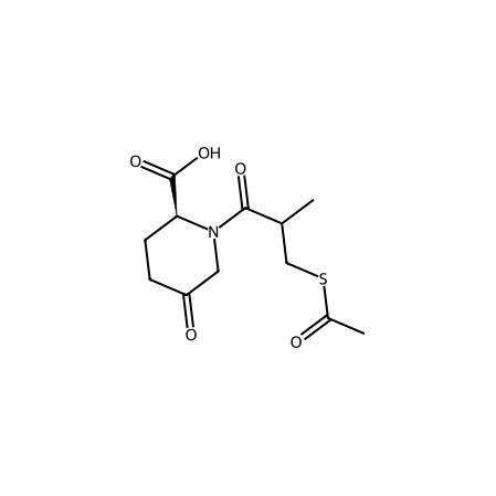 CC(=O)SCC(C)C(=O)N1CC(=O)CC[C@H]1C(=O)O